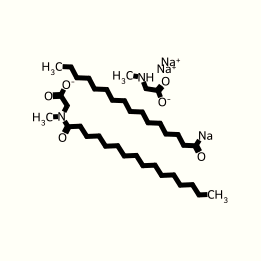 CCCCCCCCCCCCCCCC(=O)N(C)CC(=O)[O-].CCCCCCCCCCCCCCC[C](=O)[Na].CNCC(=O)[O-].[Na+].[Na+]